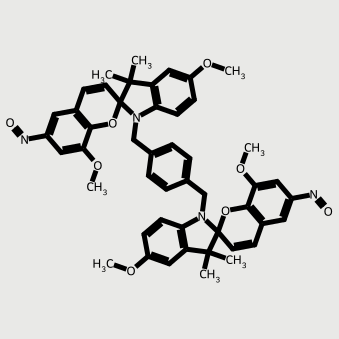 COc1ccc2c(c1)C(C)(C)C1(C=Cc3cc(N=O)cc(OC)c3O1)N2Cc1ccc(CN2c3ccc(OC)cc3C(C)(C)C23C=Cc2cc(N=O)cc(OC)c2O3)cc1